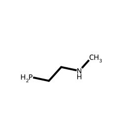 CNCCP